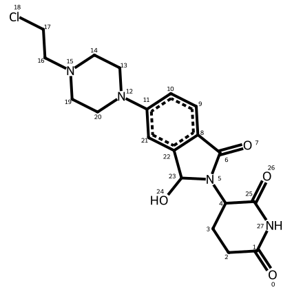 O=C1CCC(N2C(=O)c3ccc(N4CCN(CCCl)CC4)cc3C2O)C(=O)N1